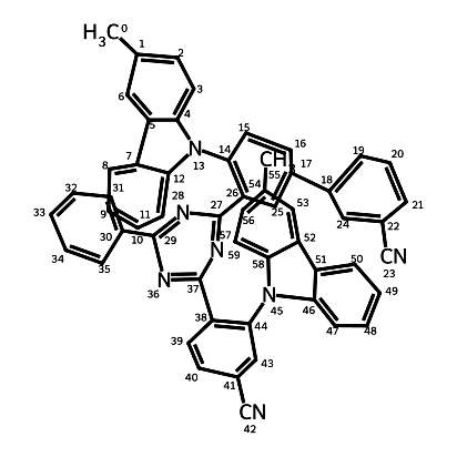 Cc1ccc2c(c1)c1ccccc1n2-c1ccc(-c2cccc(C#N)c2)cc1-c1nc(-c2ccccc2)nc(-c2ccc(C#N)cc2-n2c3ccccc3c3cc(C)ccc32)n1